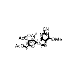 COc1nc(C#N)nc2c1ncn2[C@@H]1O[C@@H](COC(C)=O)[C@H](OC(C)=O)[C@@H]1OC(C)=O